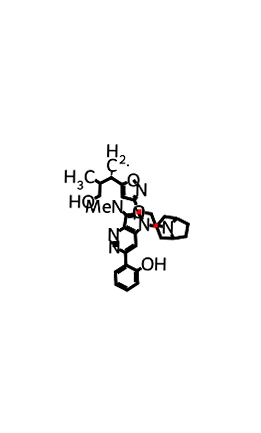 [CH2][C@H](c1cc(OCCN2C3CCC2CC(n2nc(NC)c4nnc(-c5ccccc5O)cc42)C3)no1)C(C)CO